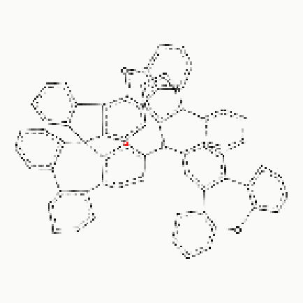 c1ccc(-c2ccccc2N(c2ccc3c(c2)-c2ccccc2Oc2ccccc2-3)c2ccc3c(c2)C2(c4ccccc4-c4ccccc4-3)c3ccccc3-c3c2ccc2c3oc3ccccc32)cc1